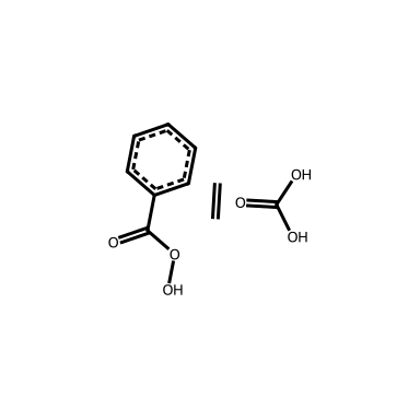 C=C.O=C(O)O.O=C(OO)c1ccccc1